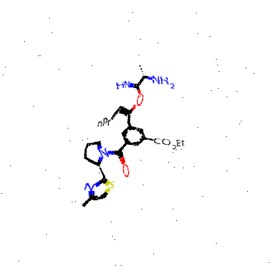 CCC/C=C(/OC(=N)[C@H](C)N)c1cc(C(=O)OCC)cc(C(=O)N2CCC[C@@H]2c2nc(C)cs2)c1